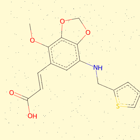 COc1c(/C=C/C(=O)O)cc(NCc2cccs2)c2c1OCO2